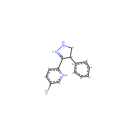 Clc1ccc(C2=NNCC2c2ccccc2)nc1